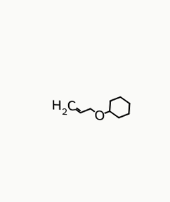 C=CCOC1CCCCC1